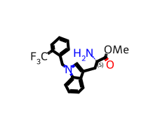 COC(=O)[C@@H](N)Cc1cn(Cc2ccccc2C(F)(F)F)c2ccccc12